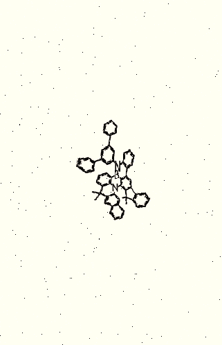 CC1(C)c2cc3ccccc3cc2N2c3c(cccc31)B1c3c(cc4c(c32)C(C)(C)c2ccccc2-4)-c2ccccc2N1c1cc(-c2ccccc2)cc(-c2ccccc2)c1